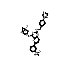 CS(=O)(=O)c1cccc(-c2ccc3nc(NCc4ccc(-n5cncn5)cc4)nc(O[C@@H]4C[C@@H]5C[C@@H]5C4)c3n2)c1